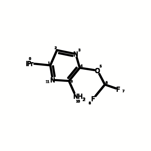 CC(C)c1cnc(OC(F)F)c(N)n1